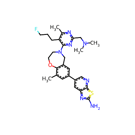 Cc1cc(-c2cnc3sc(N)nc3c2)cc2c1OCCN(c1nc(CN(C)C)nc(C)c1CCCF)C2